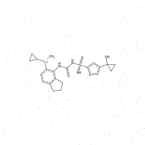 C[C@H](c1ccc2c(c1NC(=O)NS(=N)(=O)c1cc(C3(O)CC3)co1)CCC2)C1CC1